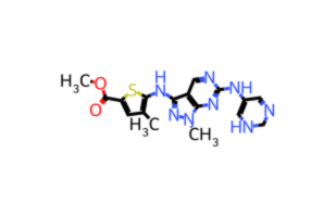 COC(=O)c1cc(C)c(Nc2nn(C)c3nc(NC4=CNCN=C4)ncc23)s1